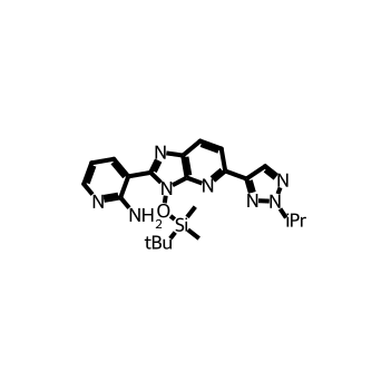 CC(C)n1ncc(-c2ccc3nc(-c4cccnc4N)n(O[Si](C)(C)C(C)(C)C)c3n2)n1